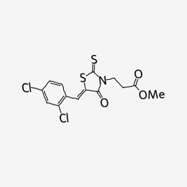 COC(=O)CCN1C(=O)/C(=C/c2ccc(Cl)cc2Cl)SC1=S